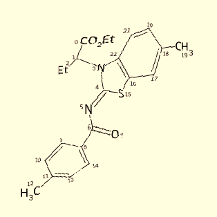 CCOC(=O)C(CC)n1/c(=N/C(=O)c2ccc(C)cc2)sc2cc(C)ccc21